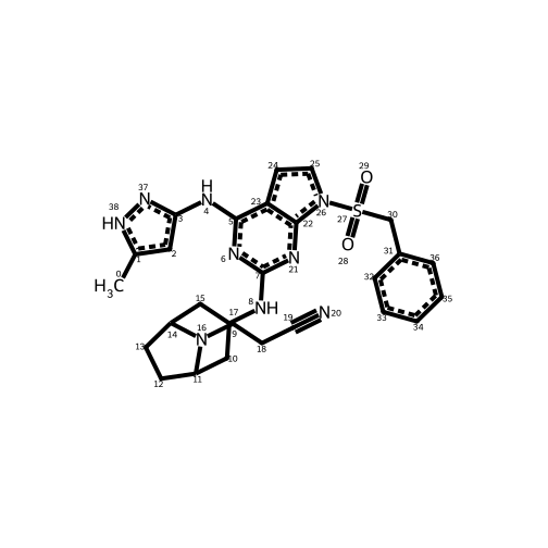 Cc1cc(Nc2nc(NC3CC4CCC(C3)N4CCC#N)nc3c2ccn3S(=O)(=O)Cc2ccccc2)n[nH]1